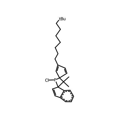 CC(C)(C)CCCCCCCC1=CC2(C=C1)P(Cl)C1(C=Cc3ccccc31)C2(C)C